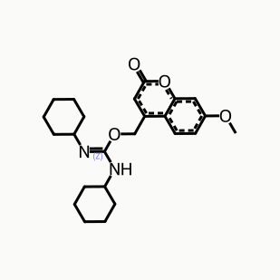 COc1ccc2c(CO/C(=N\C3CCCCC3)NC3CCCCC3)cc(=O)oc2c1